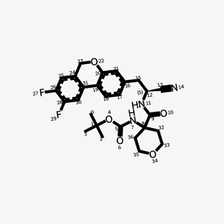 CC(C)(C)OC(=O)NC1(C(=O)N[C@H](C#N)Cc2ccc3c(c2)OCc2cc(F)c(F)cc2-3)CCOCC1